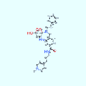 CN1CC=C(CCCNC(=O)c2ccc3c(c2)NC(CC(=O)O)C(=O)N(CCc2ccccc2)C3)CC1